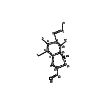 C/C=C/c1c(C)c(C)c2cc(C=O)cnc2c1C